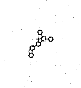 CC1(C)c2cc(-c3ccc4sc5ccccc5c4c3)ccc2-c2nc(-c3ccccc3)nc(-c3ccccc3)c21